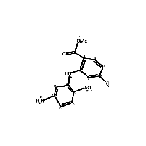 COC(=O)c1ccc(Cl)cc1Nc1cc(N)ccc1[N+](=O)[O-]